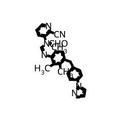 Cc1cc(Cc2ccc(-n3cccn3)cc2)c(C)c(C)c1/N=C\N(C=O)c1cccnc1C#N